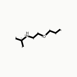 CCCOCCNC(C)C